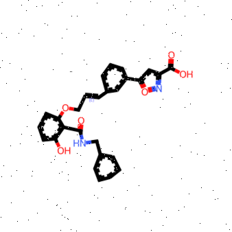 O=C(O)c1cc(-c2cccc(/C=C/COc3cccc(O)c3C(=O)NCc3ccccc3)c2)on1